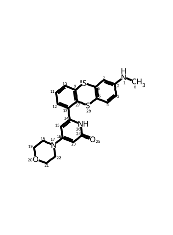 CNc1ccc2c(c1)Sc1cccc(-c3cc(N4CCOCC4)cc(=O)[nH]3)c1S2